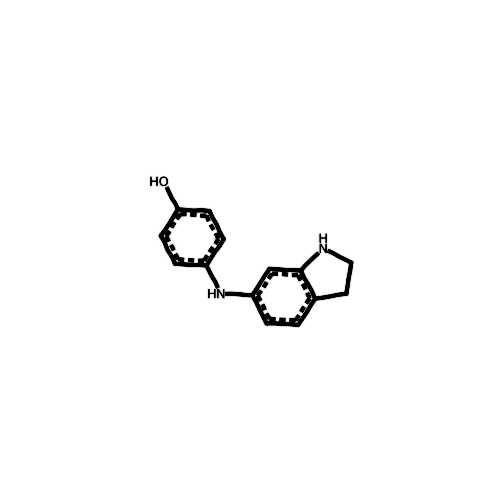 Oc1ccc(Nc2ccc3c(c2)NCC3)cc1